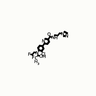 CC(O)N(CC(F)F)c1ccc(-c2ccc(C(=O)NCCCn3ccnc3)cn2)cc1Cl